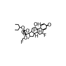 CCC(CC)OC(=O)O[C@@]1(C(=O)OCF)[C@H](C)C[C@H]2[C@@H]3C[C@H](F)C4=CC(=O)C=C[C@]4(C)C3(F)[C@@H](O)C[C@@]21C